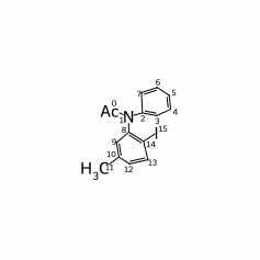 CC(=O)N(c1ccccc1)c1cc(C)ccc1I